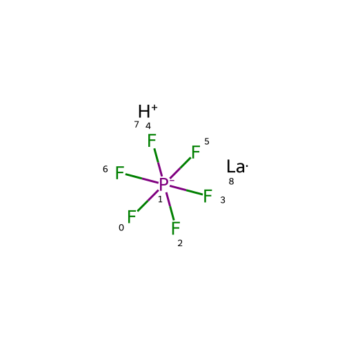 F[P-](F)(F)(F)(F)F.[H+].[La]